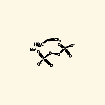 C=CC(=O)O.O=S(=O)([O-])OOS(=O)(=O)[O-].[Na+].[Na+]